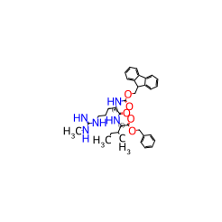 CCC(C)[C@H](NC(=O)[C@@H](CCCNC(=N)NC)NC(=O)OCC1c2ccccc2-c2ccccc21)C(=O)OCc1ccccc1